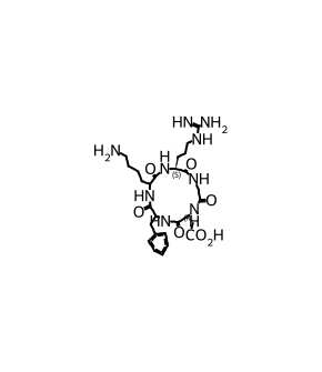 N=C(N)NCCC[C@@H]1NC(=O)C(CCCCN)NC(=O)C(Cc2ccccc2)NC(=O)[C@@H](CC(=O)O)NC(=O)CNC1=O